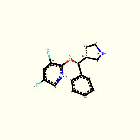 Fc1cnc(O[C@H](c2ccccc2)[C@@H]2CCNC2)c(F)c1